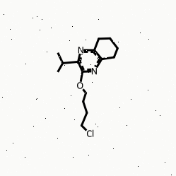 CC(C)c1nc2c(nc1OCCCCCl)CCCC2